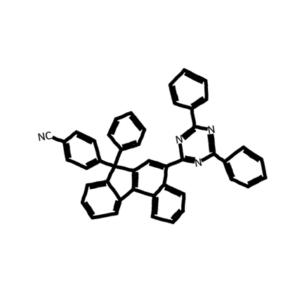 N#Cc1ccc(C2(c3ccccc3)c3ccccc3-c3c2cc(-c2nc(-c4ccccc4)nc(-c4ccccc4)n2)c2ccccc32)cc1